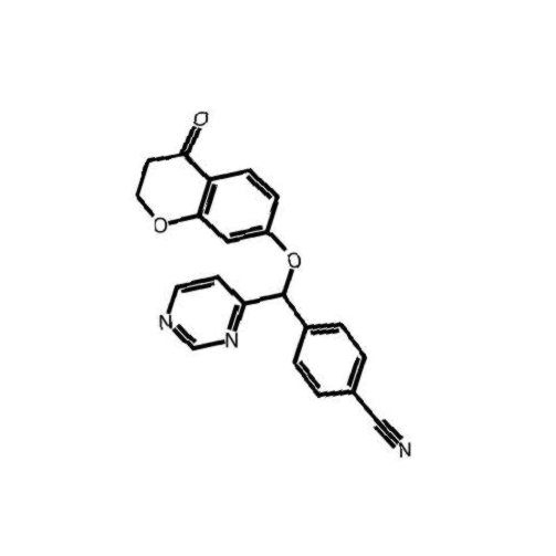 N#Cc1ccc(C(Oc2ccc3c(c2)OCCC3=O)c2ccncn2)cc1